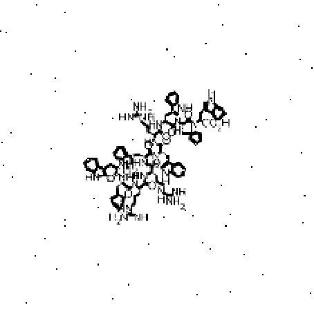 N=C(N)NCCC[C@H](NC(=O)[C@H](Cc1c[nH]c2ccccc12)NC(=O)[C@H](Cc1c[nH]c2ccccc12)NC(=O)[C@H](CCCNC(=N)N)NC(=O)[C@H](CCCNC(=N)N)NC(=O)[C@H](Cc1ccccc1)NC(=O)[C@@H](N)Cc1c[nH]c2ccccc12)C(=O)N[C@@H](Cc1c[nH]c2ccccc12)C(=O)N[C@@H](Cc1ccccc1)C(=O)N[C@@H](Cc1c[nH]c2ccccc12)C(=O)O